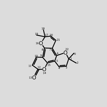 CC1(C)C=Cc2c(c3c(c4ccc(=O)oc24)OC(C)(C)C=C3)O1